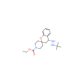 CCOC(=O)N1CCC2(CC1)CC(NNC(C)(C)C)c1ccccc1O2